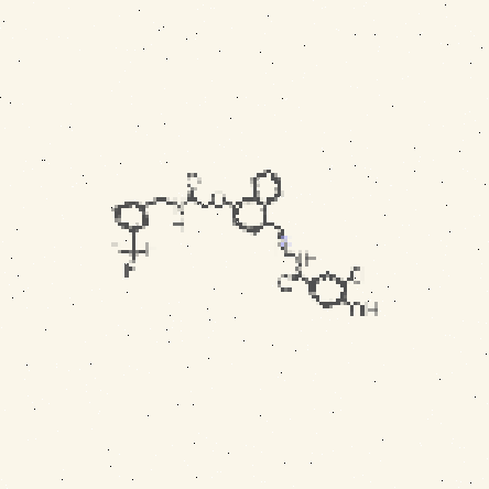 O=C(COc1ccc(/C=N/NC(=O)c2ccc(O)c(Cl)c2)c2ccccc12)NCc1cccc(C(F)(F)F)c1